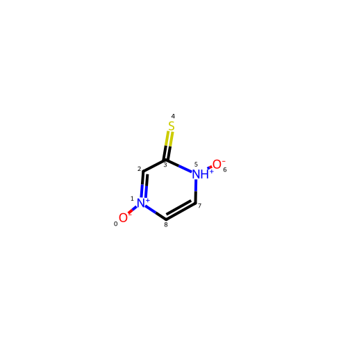 [O-][N+]1=CC(=S)[NH+]([O-])C=C1